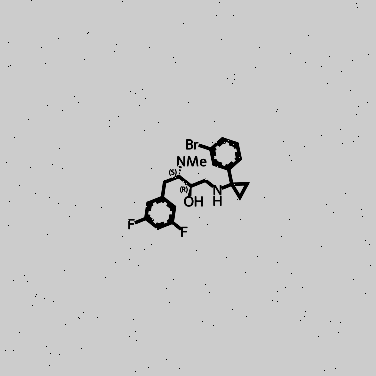 CN[C@@H](Cc1cc(F)cc(F)c1)[C@H](O)CNC1(c2cccc(Br)c2)CC1